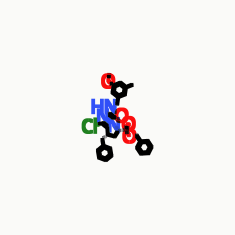 COc1cc(C)cc(CNc2nc(Cl)c3n(c2=O)[C@H](C(=O)OCc2ccccc2)C[C@@H]3Cc2ccccc2)c1